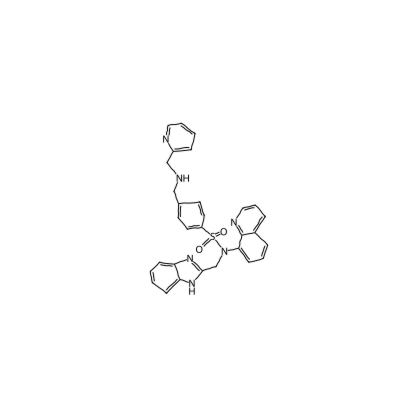 O=S(=O)(c1ccc(CNCc2ccccn2)cc1)N(Cc1nc2ccccc2[nH]1)c1cccc2cccnc12